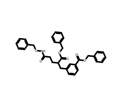 O=C(CCC(Cc1cccc(C(=O)OCc2ccccc2)c1)C(=O)OCc1ccccc1)NOCc1ccccc1